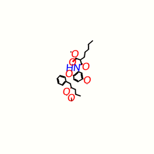 CCCCCC(C(=O)Nc1cc(OC)ccc1Oc1ccccc1CC(CC(C)OC)OC)C(=O)OC